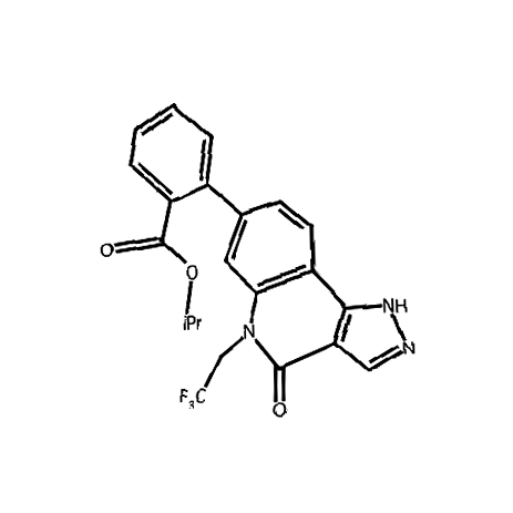 CC(C)OC(=O)c1ccccc1-c1ccc2c3[nH]ncc3c(=O)n(CC(F)(F)F)c2c1